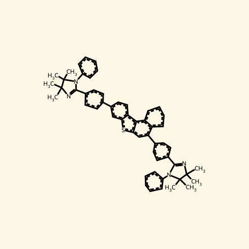 CC1(C)N=C(c2ccc(-c3ccc4c(c3)sc3cc(-c5ccc(C6=NC(C)(C)C(C)(C)N6c6ccccc6)cc5)c5ccccc5c34)cc2)N(c2ccccc2)C1(C)C